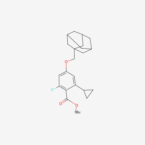 CC(C)(C)OC(=O)c1c(F)cc(OCC23CC4CC(CC(C4)C2)C3)cc1C1CC1